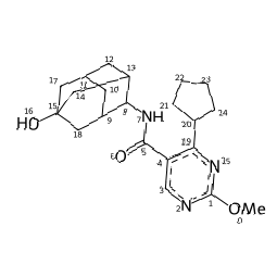 COc1ncc(C(=O)NC2C3CC4CC2CC(O)(C4)C3)c(C2CCCC2)n1